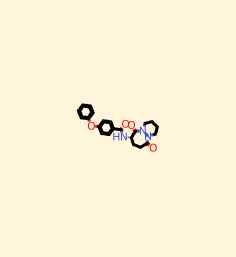 O=C(N[C@H]1CCC(=O)N2CCCCN2C1=O)c1ccc(Oc2ccccc2)cc1